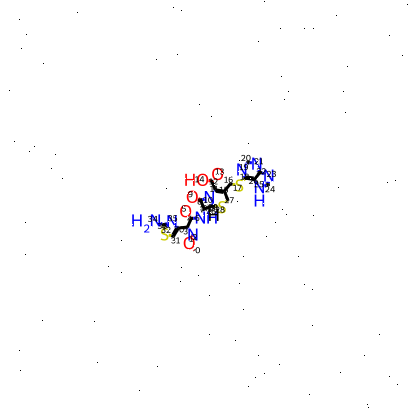 CON=C(C(=O)N[C@@H]1C(=O)N2C(C(=O)O)=C(CSc3ncnc4nc[nH]c34)CS[C@@H]12)c1csc(N)n1